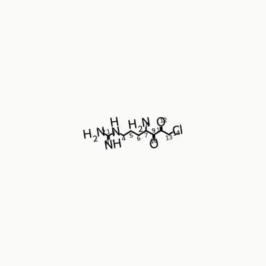 N=C(N)NCCCC(N)C(=O)C(=O)CCl